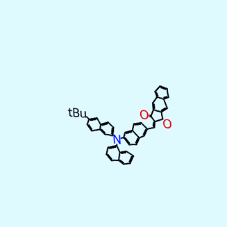 CC(C)(C)c1ccc2cc(N(c3ccc4cc(C=C5C(=O)c6cc7ccccc7cc6C5=O)ccc4c3)c3cccc4ccccc34)ccc2c1